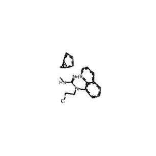 CNC(=N)N(CCCl)c1cccc2cccnc12.c1cc2cc-2c1